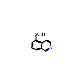 O=S(=O)(O)c1cccc2cnccc12